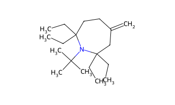 C=C1CCC(CC)(CC)N(C(C)(C)C)C(CC)(CC)C1